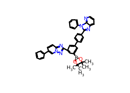 CC1(C)OB(c2cc(-c3ccc(-c4nc5cccnc5n4-c4ccccc4)cc3)cc(-c3nc4ccc(-c5ccccc5)cn4n3)c2)OC1(C)C